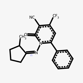 CC1CCC/C1=N/n1c(-c2ccccc2)cc(C(F)(F)F)c(C#N)c1=O